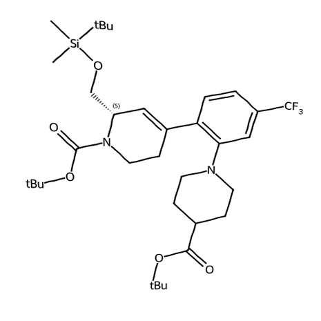 CC(C)(C)OC(=O)C1CCN(c2cc(C(F)(F)F)ccc2C2=C[C@@H](CO[Si](C)(C)C(C)(C)C)N(C(=O)OC(C)(C)C)CC2)CC1